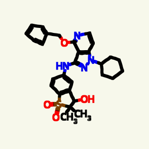 CC1(C)C(O)c2cc(Nc3nn(C4CCCCC4)c4ccnc(OCc5ccccc5)c34)ccc2S1(=O)=O